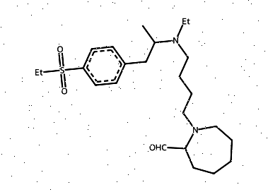 CCN(CCCCN1CCCCCC1C=O)C(C)Cc1ccc(S(=O)(=O)CC)cc1